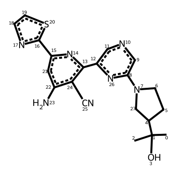 CC(C)(O)C1CCN(c2cncc(-c3nc(-c4nccs4)cc(N)c3C#N)n2)C1